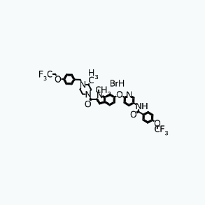 Br.C[C@H]1CN(C(=O)c2cc3ccc(Oc4ccc(NC(=O)c5ccc(OC(F)(F)F)cc5)cn4)cc3n2C)CCN1Cc1ccc(OCC(F)(F)F)cc1